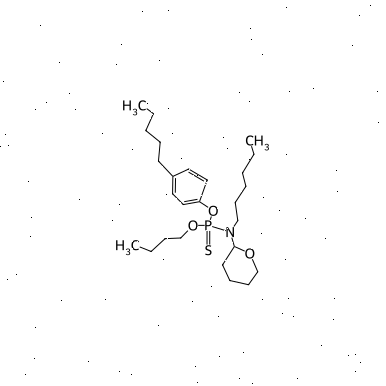 CCCCCCN(C1CCCCO1)P(=S)(OCCCC)Oc1ccc(CCCCC)cc1